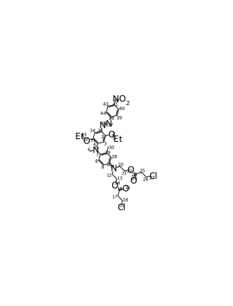 CCOc1cc(N(C)c2ccc(N(CCOC(=O)CCCl)CCOC(=O)CCCl)cc2C)c(OCC)cc1/N=N/c1ccc([N+](=O)[O-])cc1